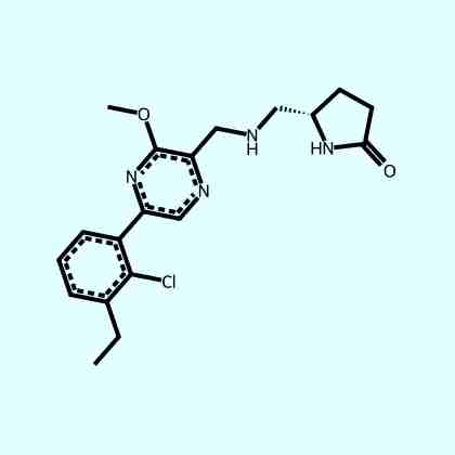 CCc1cccc(-c2cnc(CNC[C@@H]3CCC(=O)N3)c(OC)n2)c1Cl